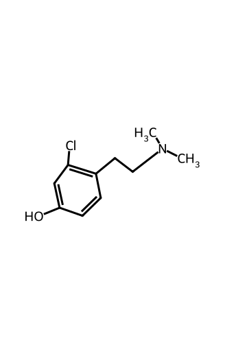 CN(C)CCc1ccc(O)cc1Cl